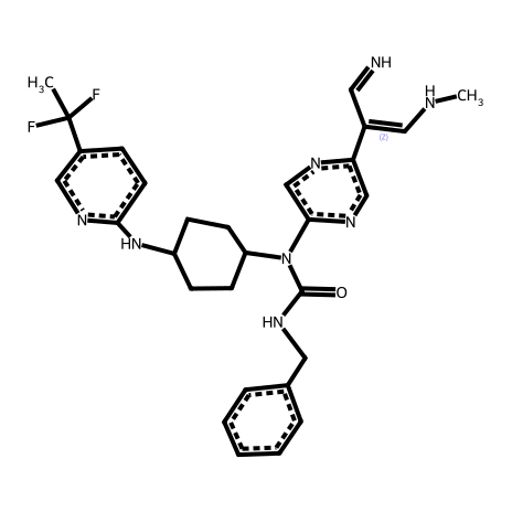 CN/C=C(\C=N)c1cnc(N(C(=O)NCc2ccccc2)C2CCC(Nc3ccc(C(C)(F)F)cn3)CC2)cn1